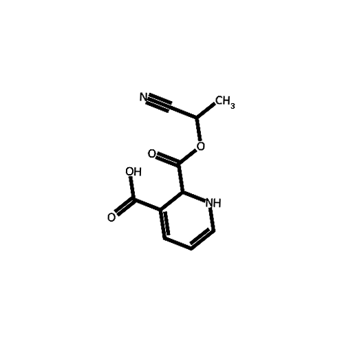 CC(C#N)OC(=O)C1NC=CC=C1C(=O)O